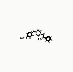 COc1ccc(CN2CCN(C[C@H](O)c3ccccc3)CC2)cc1